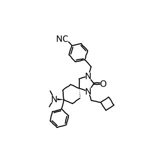 CN(C)[C@]1(c2ccccc2)CC[C@]2(CC1)CN(Cc1ccc(C#N)cc1)C(=O)N2CC1CCC1